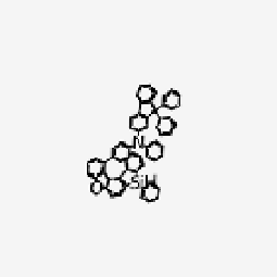 c1ccc(N(c2ccc(-c3cccc4oc5ccc6c(c5c34)-c3ccccc3[SiH]6c3ccccc3)cc2)c2ccc3c(c2)C(c2ccccc2)(c2ccccc2)c2ccccc2-3)cc1